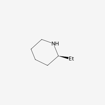 CC[C@H]1CCCCN1